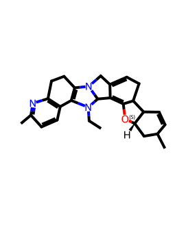 CCN1C2=C(CCc3nc(C)ccc32)N2CC3=CCC4C(=C3C21)O[C@H]1CC(C)C=CC41